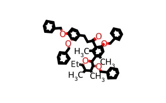 CCC1OC(c2c(C)cc(OCc3ccccc3)c(C(=O)CCc3ccc(OCc4ccccc4)c(OCc4ccccc4)c3)c2C)C(OCc2ccccc2)C(C)C1C